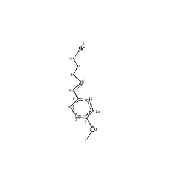 COc1ccc(C=CCCCBr)cc1